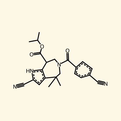 CC(C)OC(=O)C1CN(C(=O)c2ccc(C#N)cc2)CC(C)(C)c2cc(C#N)[nH]c21